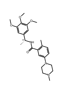 COc1cc([C@@H](C)NC(=O)c2cc(N3CCN(C)CC3)ccc2C)cc(OC)c1OC